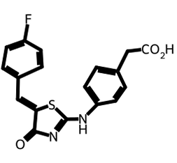 O=C(O)Cc1ccc(NC2=NC(=O)C(=Cc3ccc(F)cc3)S2)cc1